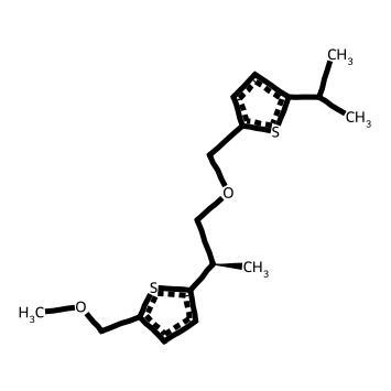 COCc1ccc([C@H](C)COCc2ccc(C(C)C)s2)s1